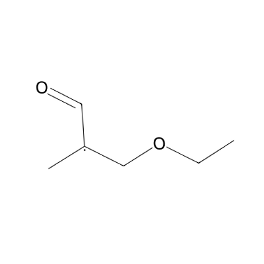 CCOC[C](C)C=O